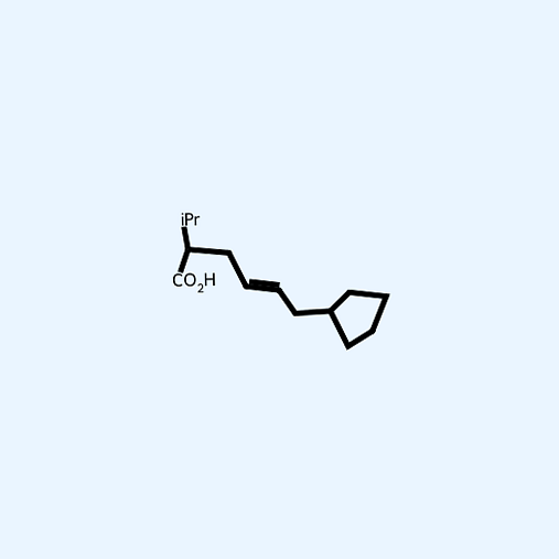 CC(C)C(C/C=C/CC1CCCC1)C(=O)O